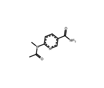 CC(=O)N(C)c1ccc(C(N)=O)cn1